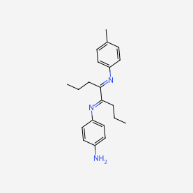 CCCC(=N\c1ccc(C)cc1)/C(CCC)=N/c1ccc(N)cc1